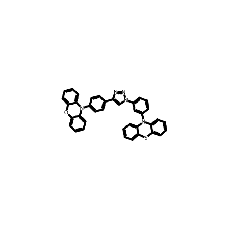 c1cc(N2c3ccccc3Sc3ccccc32)cc(-n2cc(-c3ccc(N4c5ccccc5Oc5ccccc54)cc3)nn2)c1